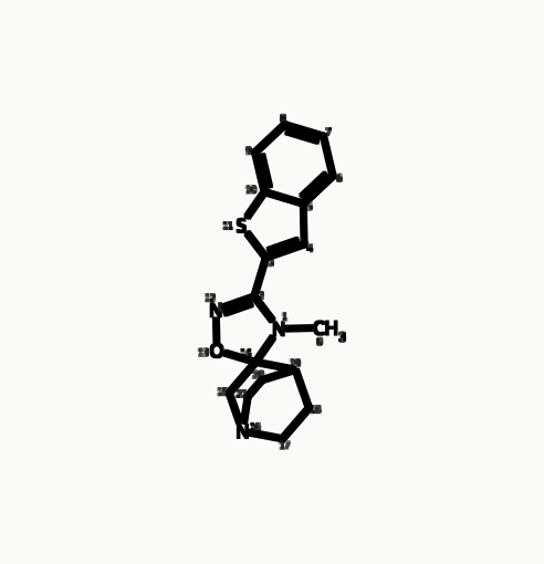 CN1C(c2cc3ccccc3s2)=NOC12CN1CCC2CC1